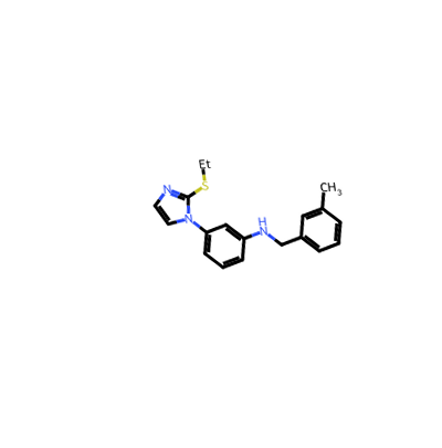 CCSc1nccn1-c1cccc(NCc2cccc(C)c2)c1